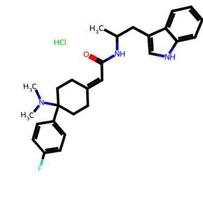 CC(Cc1c[nH]c2ccccc12)NC(=O)C=C1CCC(c2ccc(F)cc2)(N(C)C)CC1.Cl